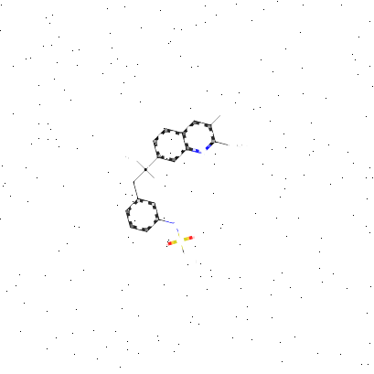 CCc1cc2ccc(C(C)(C#N)Cc3cccc(NS(C)(=O)=O)c3)cc2nc1OC